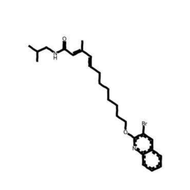 CC(C=CCCCCCCCOc1nc2ccccc2cc1Br)=CC(=O)NCC(C)C